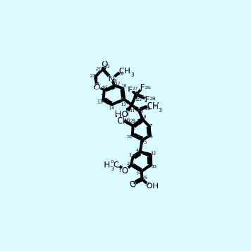 COc1cc(-c2ccc(C(C)C(O)(c3ccc4c(c3)N(C)C(=O)CO4)C(F)(F)F)c(Cl)c2)ccc1C(=O)O